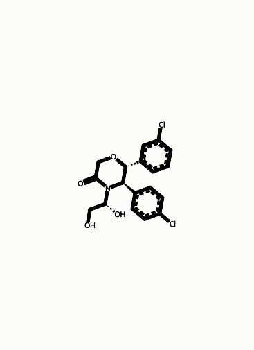 O=C1CO[C@H](c2cccc(Cl)c2)[C@@H](c2ccc(Cl)cc2)N1[C@H](O)CO